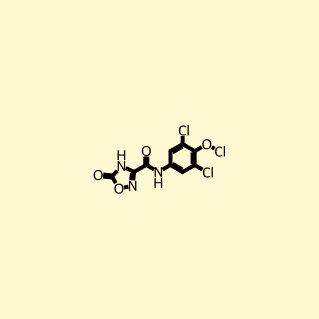 O=C(Nc1cc(Cl)c(OCl)c(Cl)c1)c1noc(=O)[nH]1